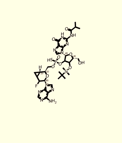 CC(C)C(=O)Nc1nc2c(ncn2[C@@H]2O[C@H](CO)C(O[Si](C)(C)C(C)(C)C)C2OP(=O)(S)OC[C@H]2O[C@@H](n3cnc4c(N)ncnc43)C(F)C3C[C@@H]32)c(=O)[nH]1